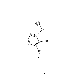 CCc1c(Br)c[c]cc1CN